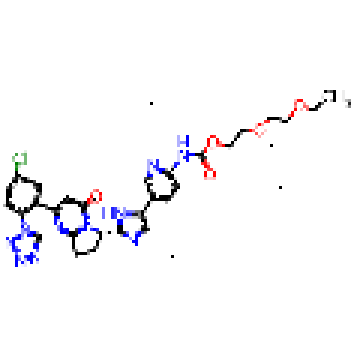 CCOCCOCCOC(=O)Nc1ccc(-c2cnc([C@@H]3CCc4nc(-c5cc(Cl)ccc5-n5cnnn5)cc(=O)n43)[nH]2)cn1